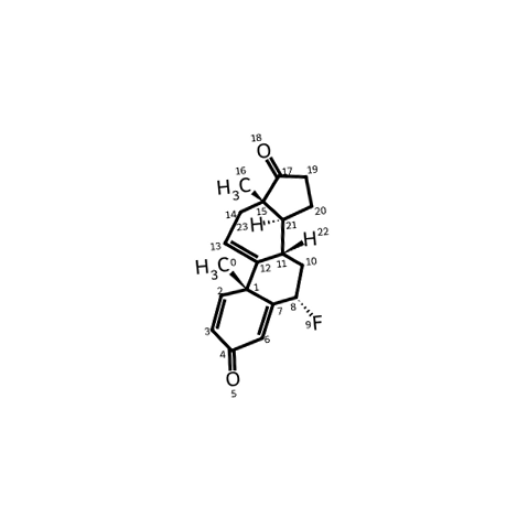 C[C@]12C=CC(=O)C=C1[C@@H](F)C[C@@H]1C2=CC[C@]2(C)C(=O)CC[C@@H]12